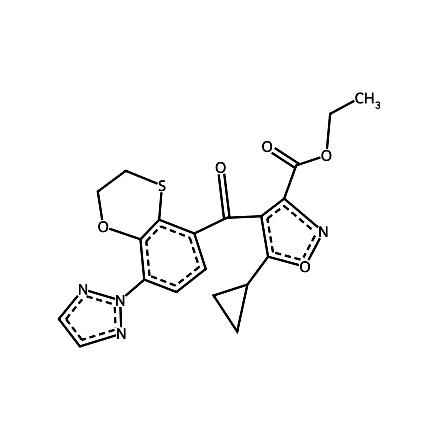 CCOC(=O)c1noc(C2CC2)c1C(=O)c1ccc(-n2nccn2)c2c1SCCO2